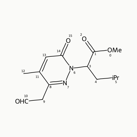 COC(=O)C(CC(C)C)n1nc(CC=O)c(C)cc1=O